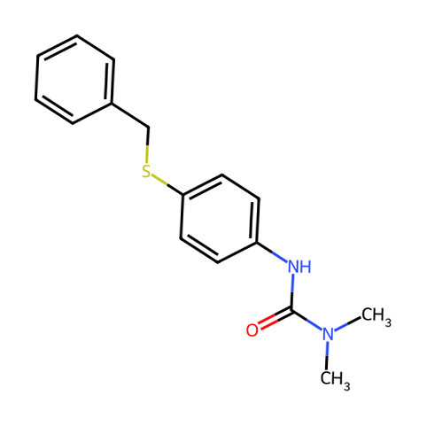 CN(C)C(=O)Nc1ccc(SCc2ccccc2)cc1